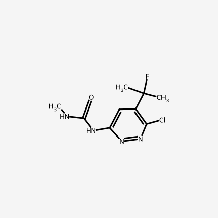 CNC(=O)Nc1cc(C(C)(C)F)c(Cl)nn1